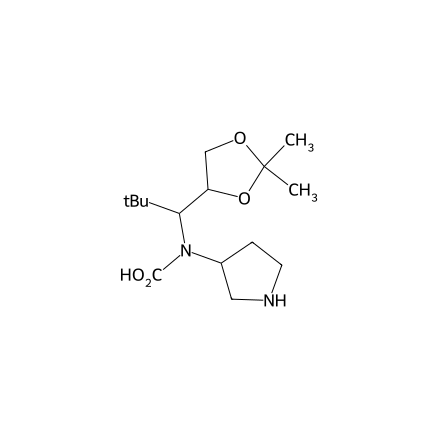 CC1(C)OCC(C(N(C(=O)O)C2CCNC2)C(C)(C)C)O1